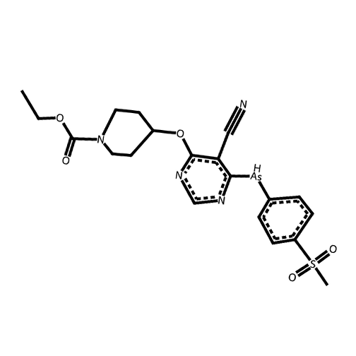 CCOC(=O)N1CCC(Oc2ncnc([AsH]c3ccc(S(C)(=O)=O)cc3)c2C#N)CC1